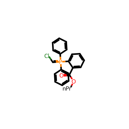 CCCOC(=O)c1ccccc1P(=CCl)(c1ccccc1)c1ccccc1